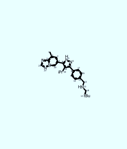 Cc1cc(-c2[nH]nc(-c3ccc(CNCC(C)(C)C)cc3)c2C(C)C)cn2ncnc12